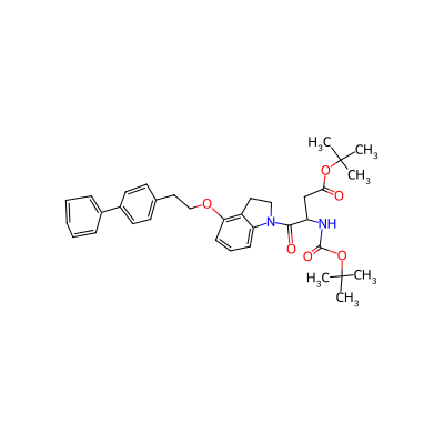 CC(C)(C)OC(=O)CC(NC(=O)OC(C)(C)C)C(=O)N1CCc2c(OCCc3ccc(-c4ccccc4)cc3)cccc21